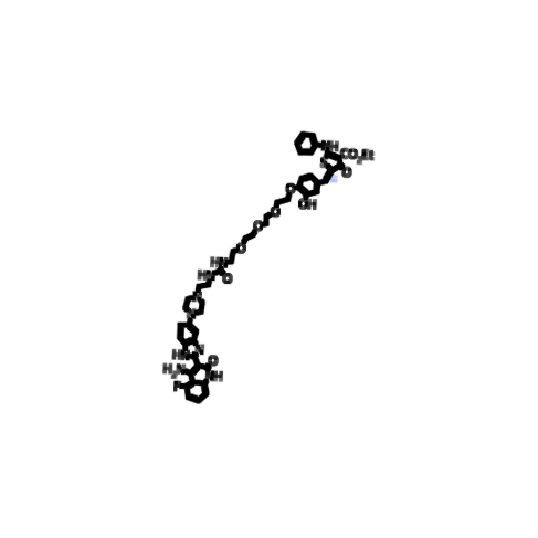 CCOC(=O)C1=C(Nc2ccccc2)S/C(=C\c2ccc(OCCOCCOCCOCCNC(=O)NCCN3CCN(c4ccc5[nH]c(-c6c(N)c7c(F)cccc7[nH]c6=O)nc5c4)CC3)c(O)c2)C1=O